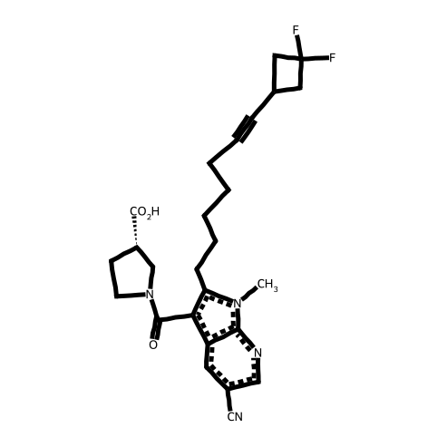 Cn1c(CCCCCC#CC2CC(F)(F)C2)c(C(=O)N2CC[C@H](C(=O)O)C2)c2cc(C#N)cnc21